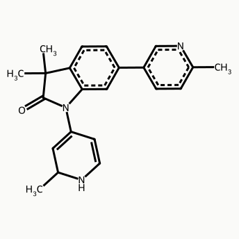 Cc1ccc(-c2ccc3c(c2)N(C2=CC(C)NC=C2)C(=O)C3(C)C)cn1